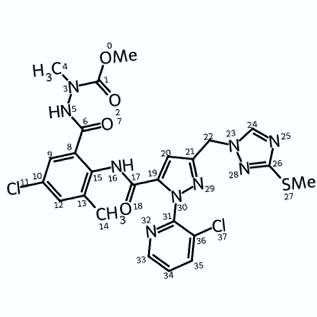 COC(=O)N(C)NC(=O)c1cc(Cl)cc(C)c1NC(=O)c1cc(Cn2cnc(SC)n2)nn1-c1ncccc1Cl